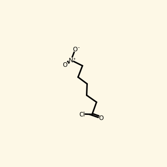 O=C(Cl)CCCCC[N+](=O)[O-]